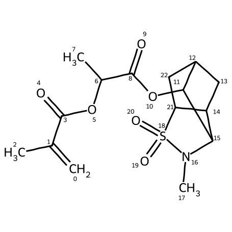 C=C(C)C(=O)OC(C)C(=O)OC1C2CC3C1N(C)S(=O)(=O)C3C2